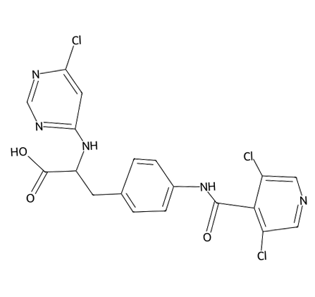 O=C(Nc1ccc(CC(Nc2cc(Cl)ncn2)C(=O)O)cc1)c1c(Cl)cncc1Cl